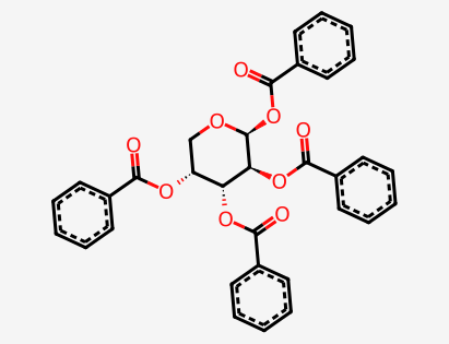 O=C(O[C@@H]1OC[C@@H](OC(=O)c2ccccc2)[C@@H](OC(=O)c2ccccc2)[C@@H]1OC(=O)c1ccccc1)c1ccccc1